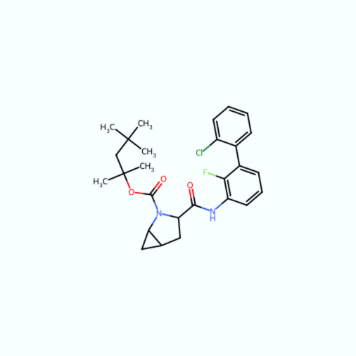 CC(C)(C)CC(C)(C)OC(=O)N1C(C(=O)Nc2cccc(-c3ccccc3Cl)c2F)CC2CC21